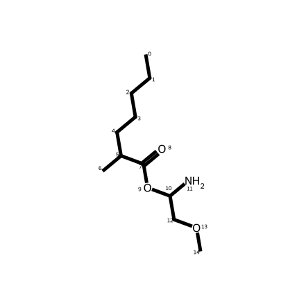 CCCCCC(C)C(=O)OC(N)COC